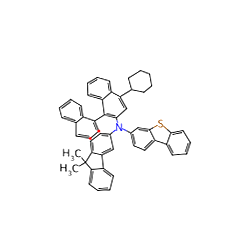 CC1(C)c2ccccc2-c2cc(N(c3ccc4c(c3)sc3ccccc34)c3cc(C4CCCCC4)c4ccccc4c3-c3cccc4ccccc34)ccc21